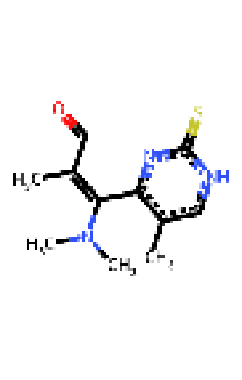 CC(C=O)=C(c1nc(=S)[nH]cc1C)N(C)C